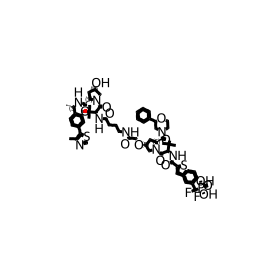 Cc1ncsc1-c1ccc([C@H](C)NC(=O)[C@@H]2C[C@@H](O)CN2C(=O)C(NC(=O)CCCNC(=O)CO[C@H]2C[C@@H](C(=O)N3CCOC(c4ccccc4)C3)N(C(=O)C(NC(=O)c3cc4cc(C(F)(F)P(=O)(O)O)ccc4s3)C(C)(C)C)C2)C(C)(C)C)cc1